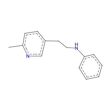 Cc1ccc(CCNc2ccccc2)cn1